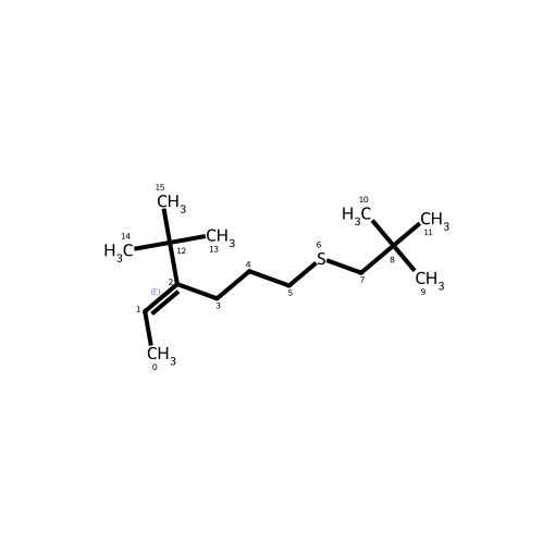 C/C=C(\CCCSCC(C)(C)C)C(C)(C)C